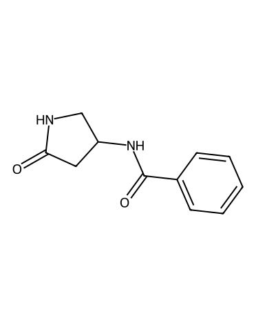 O=C1CC(NC(=O)c2ccccc2)CN1